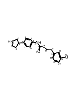 O=C(Nc1ccc(C2CCNC2)cc1)OCCc1cccc(Cl)c1